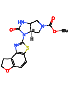 CC(C)(C)OC(=O)N1CC2NC(=O)N(c3nc4c5c(ccc4s3)OCC5)[C@@H]2C1